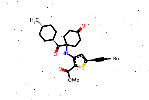 COC(=O)c1sc(C#CC(C)(C)C)cc1NC1(C(=O)[C@H]2CC[C@H](C)CC2)CCC(=O)CC1